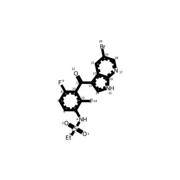 CCS(=O)(=O)Nc1ccc(F)c(C(=O)c2c[nH]c3ncc(Br)cc23)c1F